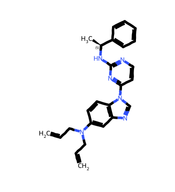 C=CCN(CC=C)c1ccc2c(c1)ncn2-c1ccnc(N[C@@H](C)c2ccccc2)n1